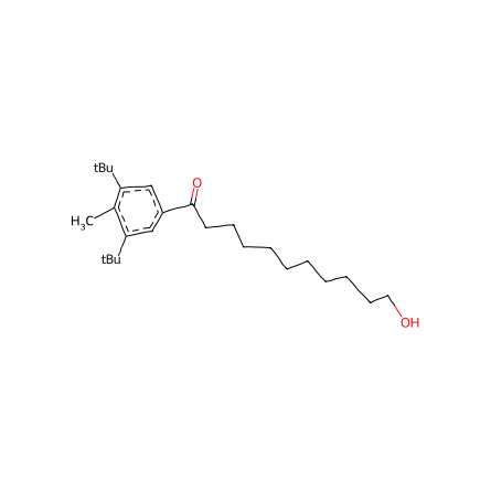 Cc1c(C(C)(C)C)cc(C(=O)CCCCCCCCCCO)cc1C(C)(C)C